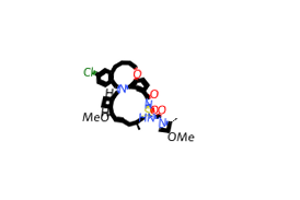 CO[C@H]1/C=C/C[C@H](C)CS(=O)(NC(=O)N2C[C@H](OC)[C@H]2C)=NC(=O)c2ccc3c(c2)N(Cc2ccc(Cl)cc2CCCCO3)C[C@@H]2CC[C@H]21